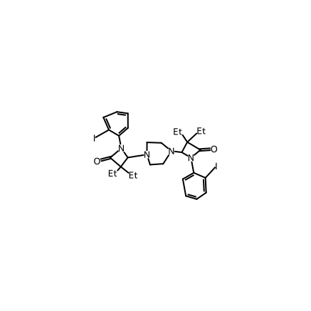 CCC1(CC)C(=O)N(c2ccccc2I)C1N1CCN(C2N(c3ccccc3I)C(=O)C2(CC)CC)CC1